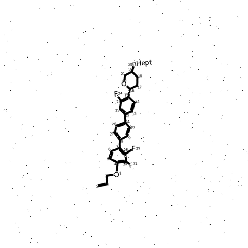 C=CCOc1ccc(-c2ccc(-c3ccc(C4CCC(CCCCCCC)CO4)c(F)c3)cc2)c(F)c1F